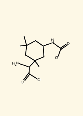 CC1(C)CC(NC(=O)Cl)CC(C)(C(N)C(=O)Cl)C1